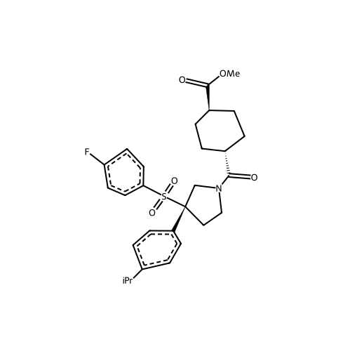 COC(=O)[C@H]1CC[C@H](C(=O)N2CC[C@](c3ccc(C(C)C)cc3)(S(=O)(=O)c3ccc(F)cc3)C2)CC1